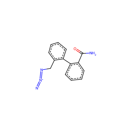 [N-]=[N+]=NCc1ccccc1-c1ccccc1C(N)=O